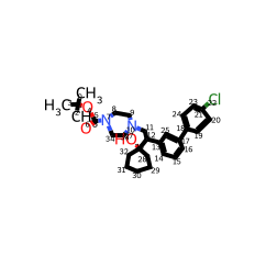 CC(C)(C)OC(=O)N1CCN(CC(c2cccc(-c3ccc(Cl)cc3)c2)C2(O)CCCCC2)CC1